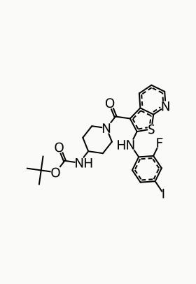 CC(C)(C)OC(=O)NC1CCN(C(=O)c2c(Nc3ccc(I)cc3F)sc3ncccc23)CC1